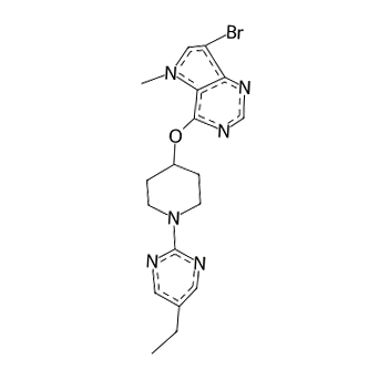 CCc1cnc(N2CCC(Oc3ncnc4c(Br)cn(C)c34)CC2)nc1